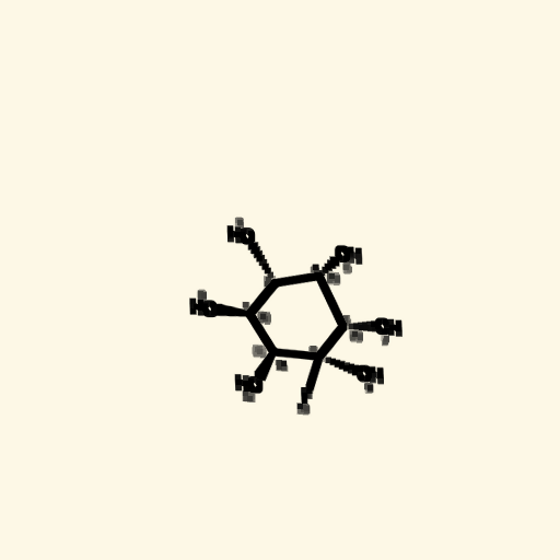 O[C@H]1[C@H](O)[C@H](O)[C@H](O)[C@@](O)(F)[C@H]1O